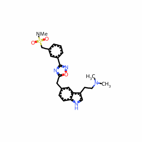 CNS(=O)(=O)Cc1cccc(-c2noc(Cc3ccc4[nH]cc(CCN(C)C)c4c3)n2)c1